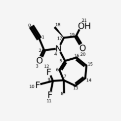 C#CC(=O)N(C1=CC(C)(C(F)(F)F)C=CC=C1)[C@@H](C)C(=O)O